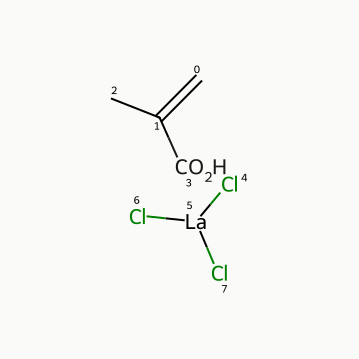 C=C(C)C(=O)O.[Cl][La]([Cl])[Cl]